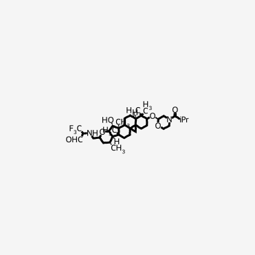 CC(C)C(=O)N1CCO[C@@H](OC2CCC34CC35CCC3(C)[C@@H]6C(OC(CNC(C=O)C(F)(F)F)C[C@H]6C)[C@H](O)[C@@]3(C)C5CC[C@H]4C2(C)C)C1